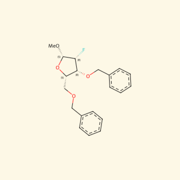 CO[C@H]1O[C@@H](COCc2ccccc2)[C@@H](OCc2ccccc2)[C@H]1F